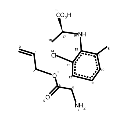 C=CCOC(=O)CN.Cc1cccc(Cl)c1N[C@@H](C)C(=O)O